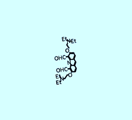 CCN(CC)CCOc1ccc2cc3ccc(OCCN(CC)CC)c(C=O)c3nc2c1C=O